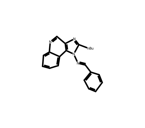 CCCCc1nc2cnc3ccccc3c2n1N=Cc1ccccc1